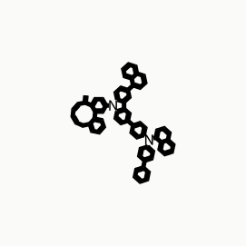 C=C1/C=C\C=C/Cc2ccccc2-c2cc(-n3c4ccc(-c5ccc(N(c6ccc(-c7ccccc7)cc6)c6cccc7ccccc67)cc5)cc4c4cc(-c5cccc6ccccc56)ccc43)ccc21